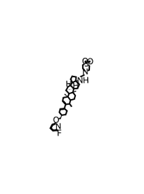 CC1C(C2=CC[C@H](COc3cccc(F)n3)CC2)=CC[C@@]2(C)C1CC[C@]1(C)C2CC[C@@H]2[C@H]3CCC[C@]3(NCCN3CCS(=O)(=O)CC3)CC[C@]21C